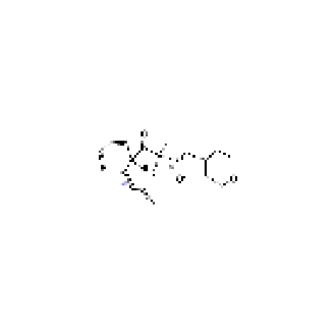 C=C/C=C1/C=CC=CC1(N)C(=O)C(C)(C)[S@@+]([O-])CC1CCOCC1